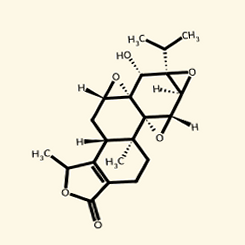 CC1OC(=O)C2=C1[C@@H]1C[C@@H]3O[C@@]34[C@H](O)[C@@]3(C(C)C)O[C@H]3[C@@H]3O[C@@]34[C@@]1(C)CC2